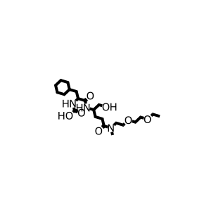 CCOCCOCCN(C)C(=O)CCC(CO)NC(=O)C(CC1CCCCC1)NC(=O)O